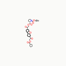 CC(C)(C)OC(=O)N1CCC[C@H]1C(=O)OCC(=O)c1ccc2c(c1)oc1cc(C(=O)COC(=O)C3CCCC3)ccc12